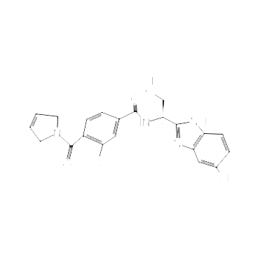 O=C(N[C@@H](CO)c1nc2cc(Cl)ccc2[nH]1)c1ccc(C(=O)N2CC=CC2)c(Cl)c1